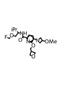 COC1CN(c2ccc(C(=O)NC(COCF)C(C)C)nc2OCC2COC2)C1